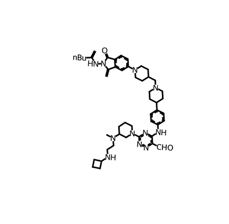 C=C(CCCC)NN1C(=C)c2cc(N3CCC(CN4CCC(c5ccc(Nc6nc(N7CCCC(N(C)CCNC8CCC8)C7)nnc6C=O)cc5)CC4)CC3)ccc2C1=O